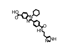 O=C(O)c1ccc2c(c1)nc(-c1ccc(C(=O)NCCc3c[nH]cn3)cc1)n2C1CCCCC1